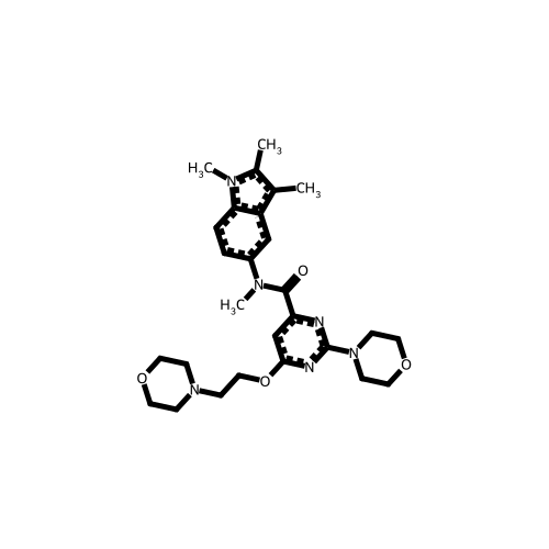 Cc1c(C)n(C)c2ccc(N(C)C(=O)c3cc(OCCN4CCOCC4)nc(N4CCOCC4)n3)cc12